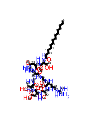 CCCCCCCCCCCCCCCC(=O)N[C@H](C(=O)N[C@H]1CC(=O)NNN([C@@H](C)C(=O)NCC(=O)N[C@@H](CCCNC(=N)N)C(=O)N[C@@H](CO)C(=O)N[C@@H](CC(=O)O)C(=O)N[C@H](C(=O)NC)[C@@H](C)O)C1=O)[C@@H](C)O